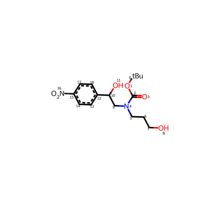 CC(C)(C)OC(=O)N(CCCO)CC(O)c1ccc([N+](=O)[O-])cc1